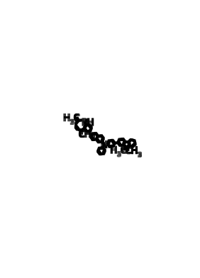 CC1CBC2=C(C[C@@H](c3ccc4cc(N(c5ccccc5)c5ccc(-c6ccc7c(c6)C(C)(C)C6=C7CCC=C6)cc5)ccc4c3)C=C2)[C@@H](C)C#CC1